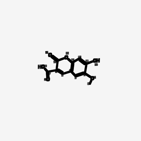 COc1cc2cc(C(=O)O)c(=O)oc2cc1O